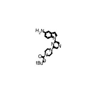 CC(C)(C)OC(=O)N1CCN(c2cncc(-n3ccc4cc(N)ccc43)n2)CC1